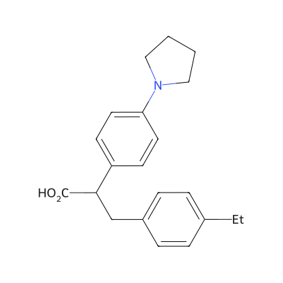 CCc1ccc(CC(C(=O)O)c2ccc(N3CCCC3)cc2)cc1